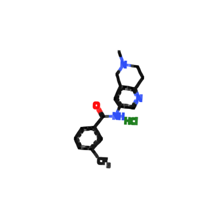 CN1CCc2ncc(NC(=O)c3cccc(C(F)(F)F)c3)cc2C1.Cl